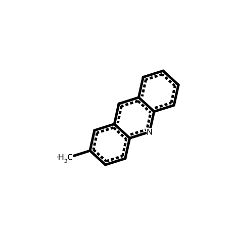 [CH2]c1ccc2nc3ccccc3cc2c1